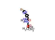 CNC(Cc1ccc(-c2ncc(Br)cn2)cc1)C(=O)NCCC(=O)OC(C)(C)C